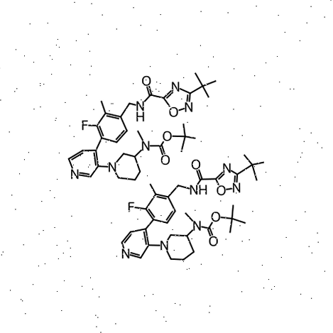 Cc1c(CNC(=O)c2nc(C(C)(C)C)no2)ccc(-c2ccncc2N2CCCC(N(C)C(=O)OC(C)(C)C)C2)c1F.Cc1c(CNC(=O)c2nc(C(C)(C)C)no2)ccc(-c2ccncc2N2CCCC(N(C)C(=O)OC(C)(C)C)C2)c1F